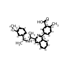 COc1cccc([C@@H](C)NC(C)c2cc3ccccc3c(-c3ccc(C)c(C(=O)O)c3)n2)c1